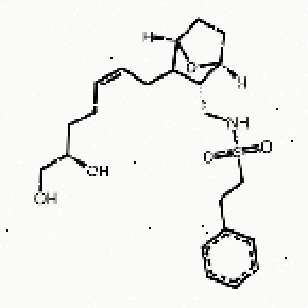 O=S(=O)(CCc1ccccc1)NC[C@@H]1C(C/C=C\CC[C@@H](O)CO)[C@@H]2CC[C@H]1O2